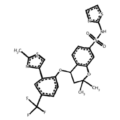 Cc1nc(-c2cc(C(F)(F)F)ccc2OC2CC(C)(C)Oc3cc(S(=O)(=O)Nc4nccs4)ccc32)cs1